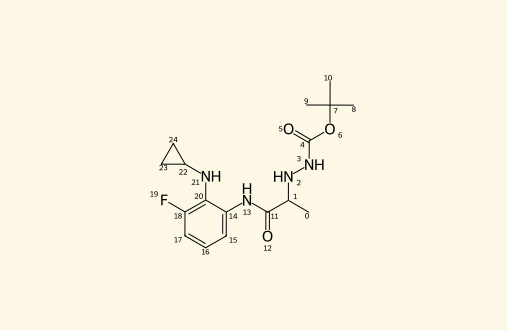 CC(NNC(=O)OC(C)(C)C)C(=O)Nc1cccc(F)c1NC1CC1